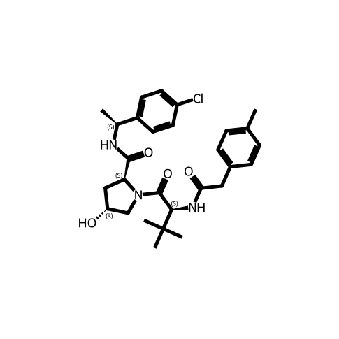 Cc1ccc(CC(=O)N[C@H](C(=O)N2C[C@H](O)C[C@H]2C(=O)N[C@@H](C)c2ccc(Cl)cc2)C(C)(C)C)cc1